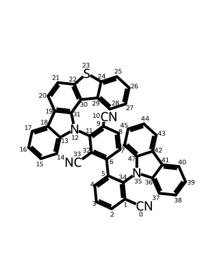 N#Cc1cccc(-c2ccc(C#N)c(-n3c4ccccc4c4ccc5sc6ccccc6c5c43)c2C#N)c1-n1c2ccccc2c2ccccc21